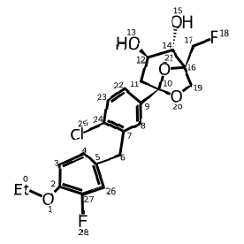 CCOc1ccc(Cc2cc([C@]34C[C@@H](O)[C@H](O)[C@](CF)(CO3)O4)ccc2Cl)cc1F